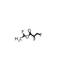 CC(F)OC(=O)C(F)CF